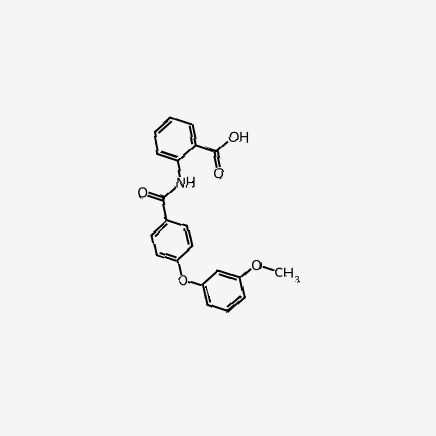 COc1cccc(Oc2ccc(C(=O)Nc3ccccc3C(=O)O)cc2)c1